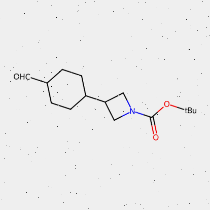 CC(C)(C)OC(=O)N1CC(C2CCC(C=O)CC2)C1